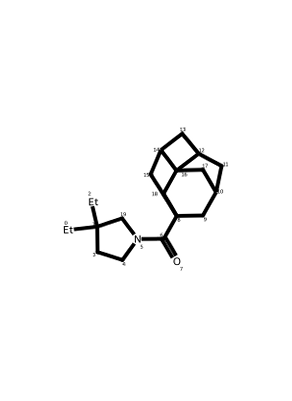 CCC1(CC)CCN(C(=O)C23CC4CC5CC(C2)C5(C4)C3)C1